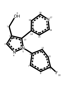 OCc1cnn(-c2ccc(F)cc2)c1-c1ccncc1